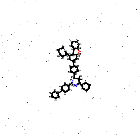 CC1(C)C(c2ccccc2)=NC(c2ccc(-c3ccccc3)cc2)=NC1c1ccc(C2=CC3Oc4ccccc4C3C(c3ccccc3)=C2)cc1